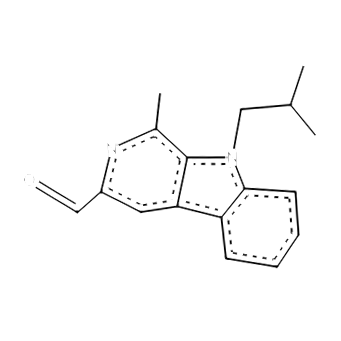 Cc1nc(C=O)cc2c3ccccc3n(CC(C)C)c12